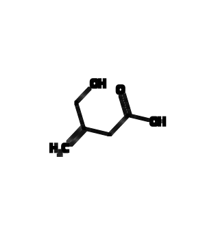 C=C(CO)CC(=O)O